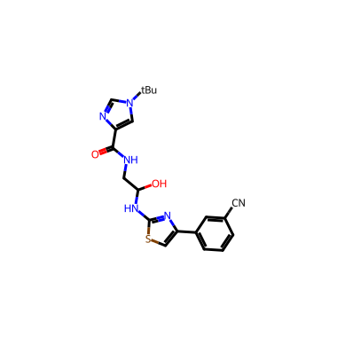 CC(C)(C)n1cnc(C(=O)NCC(O)Nc2nc(-c3cccc(C#N)c3)cs2)c1